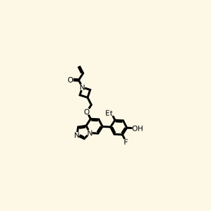 C=CC(=O)N1CC(COc2cc(-c3cc(F)c(O)cc3CC)cn3cncc23)C1